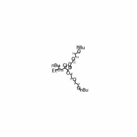 CCCCOCCOCCOC(OCCOCCOCCCC)C(C)CC(CC)CCCC